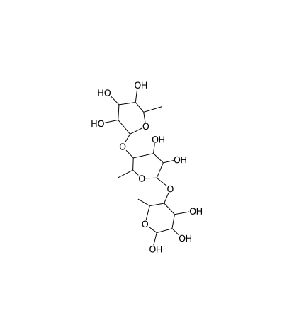 CC1OC(OC2C(C)OC(OC3C(C)OC(O)C(O)C3O)C(O)C2O)C(O)C(O)C1O